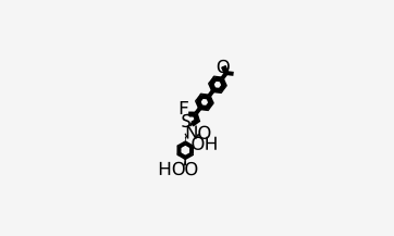 CC(=O)c1ccc(-c2ccc(-c3cc(N(C[C@H]4CC[C@H](C(=O)O)CC4)C(=O)O)sc3F)cc2)cc1